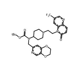 CC(C)(C)OC(=O)N(Cc1cc2c(cn1)OCCO2)C1CCN(CCn2c(=O)ccc3ncc(C(F)(F)F)cc32)CC1